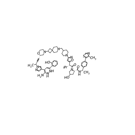 Cc1ncsc1-c1ccc([C@H](C)NC(=O)[C@@H]2C[C@@H](O)CN2C(=O)[C@@H](c2cc(N3CCC(CN4CCC5(CC4)CC(N4CCO[C@@H](C#CC(C)n6cc(C7=C(N)NNC(c8ccccc8O)=C7)cn6)C4)C5)CC3)no2)C(C)C)cc1